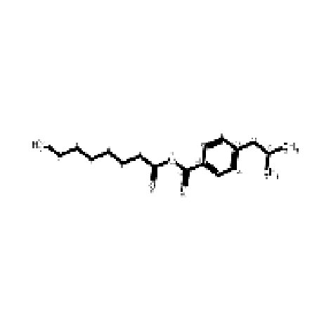 CCCCCCCC(=O)OC(=O)c1ccc(CC(C)C)cc1